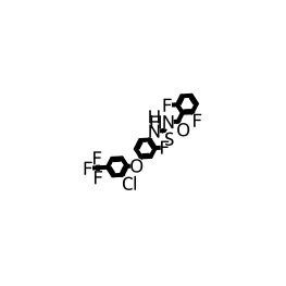 O=C(NC(=S)Nc1ccc(Oc2ccc(C(F)(F)F)cc2Cl)cc1F)c1c(F)cccc1F